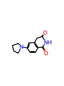 O=C1Cc2cc(N3CCCC3)ccc2C(=O)N1